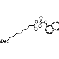 CCCCCCCCCCCCCCCCCC(=O)OS(=O)(=O)Oc1cccc2ccccc12